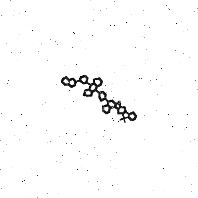 CC1(C)c2ccccc2-c2cc3sc4cc(-c5ccc(-c6c7ccccc7c(-c7cccc(-c8ccc9ccccc9c8)c7)c7ccccc67)cc5)c5ccccc5c4c3cc21